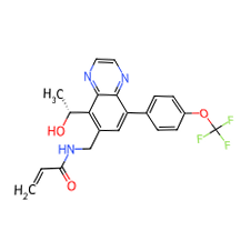 C=CC(=O)NCc1cc(-c2ccc(OC(F)(F)F)cc2)c2nccnc2c1[C@@H](C)O